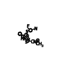 CC(=O)N1CCC(c2csc(Nc3ncc(Sc4ccc(C#N)cc4CF)cc3Oc3ccccc3)n2)CC1